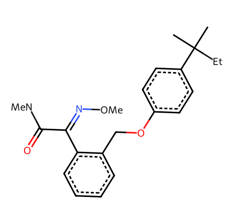 CCC(C)(C)c1ccc(OCc2ccccc2/C(=N\OC)C(=O)NC)cc1